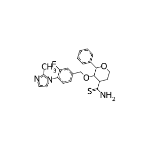 Cc1nccn1-c1ccc(COC2C(C(N)=S)CCOC2c2ccccc2)cc1F